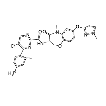 Cc1cc(P)ccc1-c1nc(C(=O)N[C@H]2COc3ccc(Oc4ccn(C)n4)cc3N(C)C2=O)ncc1Cl